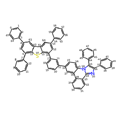 c1ccc(-c2cc(-c3ccccc3)c3sc4c(-c5cccc(-c6ccc7c(c6)c6ccccc6c6nc(-c8ccccc8)c(-c8ccccc8)n76)c5)cc(-c5ccccc5)cc4c3c2)cc1